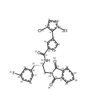 CCn1ncc(Cl)c1-c1csc(C(=O)N[C@@H](Cc2cccc(F)c2)CN2C(=O)c3ccccc3C2=O)c1